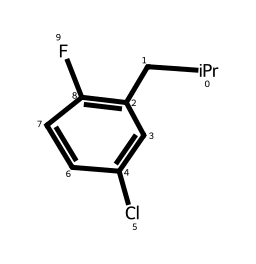 CC(C)Cc1cc(Cl)ccc1F